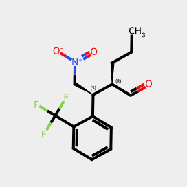 CCC[C@@H](C=O)[C@H](C[N+](=O)[O-])c1ccccc1C(F)(F)F